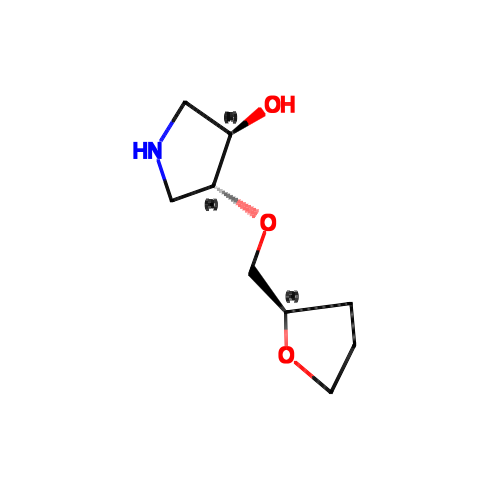 O[C@@H]1CNC[C@H]1OC[C@H]1CCCO1